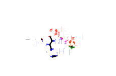 CC(=O)NC(CS(=O)(=O)O)C(NC(C)=O)c1ncc[nH]1.O=S(=O)(O)C(F)(F)F